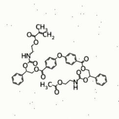 C=C(C)C(=O)OCCNC(=O)OC(COC(=O)c1ccc(Oc2ccc(C(=O)OCC(OC(=O)NCCOC(C)=O)c3ccccc3)cc2)cc1)c1ccccc1